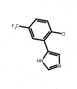 FC(F)(F)c1ccc(Cl)c(-c2cnc[nH]2)c1